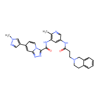 Cc1ncc(NC(=O)CCN2CCc3ccccc3C2)cc1NC(=O)c1nnc2cc(-c3cnn(C)c3)ccn12